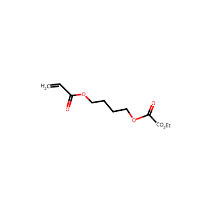 C=CC(=O)OCCCCOC(=O)C(=O)OCC